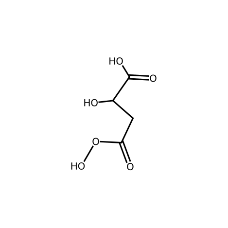 O=C(CC(O)C(=O)O)OO